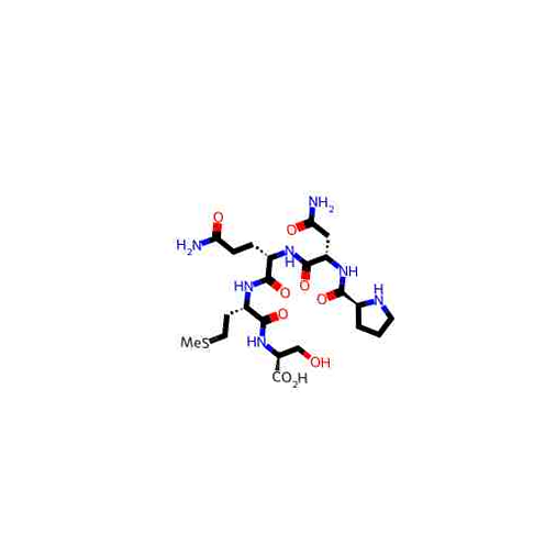 CSCC[C@H](NC(=O)[C@H](CCC(N)=O)NC(=O)[C@H](CC(N)=O)NC(=O)[C@@H]1CCCN1)C(=O)N[C@@H](CO)C(=O)O